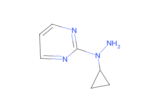 NN(c1ncccn1)C1CC1